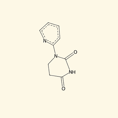 O=C1CCN(c2ccccn2)C(=O)N1